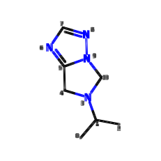 CC(C)N1Cc2ncnn2C1